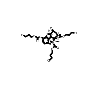 Cc1ccc(OC(=O)OCCCCl)c2c1[C@]13CCN(C(=O)OCCCCl)[C@H](C)C1(OC(=O)OCCCCl)CCC(=O)[C@@H]3O2